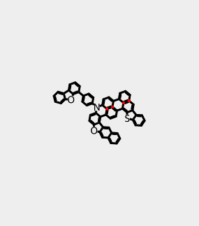 c1ccc(-c2ccc(N(c3ccc(-c4cccc5c4oc4ccccc45)cc3)c3ccc4oc5cc6ccccc6cc5c4c3-c3ccc(-c4cccc5c4sc4ccccc45)cc3)cc2)cc1